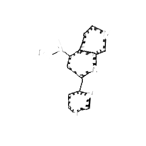 CC(C)(C)Nc1cc(-c2ccncn2)nc2cnccc12